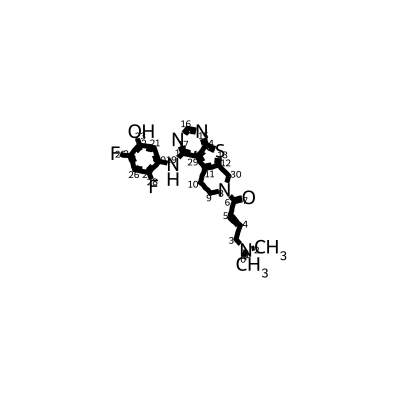 CN(C)CC=CC(=O)N1CCc2c(sc3ncnc(Nc4cc(O)c(F)cc4F)c23)C1